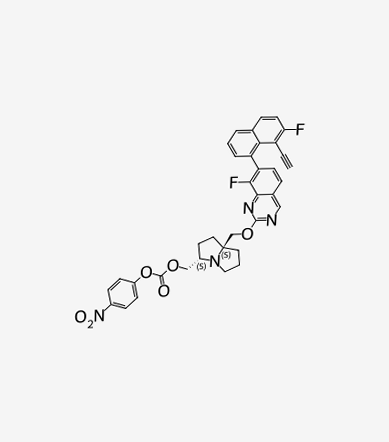 C#Cc1c(F)ccc2cccc(-c3ccc4cnc(OC[C@@]56CCCN5[C@H](COC(=O)Oc5ccc([N+](=O)[O-])cc5)CC6)nc4c3F)c12